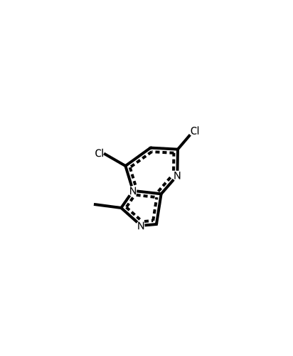 Cc1ncc2nc(Cl)cc(Cl)n12